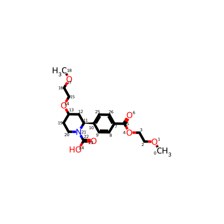 COCCOC(=O)c1ccc([C@@H]2CC(OCCOC)CCN2C(=O)O)cc1